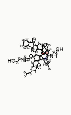 CC(C)=CCCC1(C)C=Cc2c(c(CC=C(C)C)c3c(c2OCCNCCO)C2=C4C(C5CC6C(C)(C)OC(C/C=C(/C)C(=O)NCCO)(C5=O)C46O3)C3C(=O)c4ccccc4C3=N2)O1